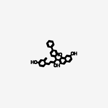 C=c1cc(O)cc/c1=C/C=C(\O)C(c1ccc(-c2ccccc2)cc1)c1ccc2ccc(O)cc2c1O